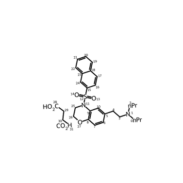 CCCN(CCC)CCc1ccc2c(c1)N(S(=O)(=O)c1ccc3ccccc3c1)CCO2.O=C(O)CCC(=O)O